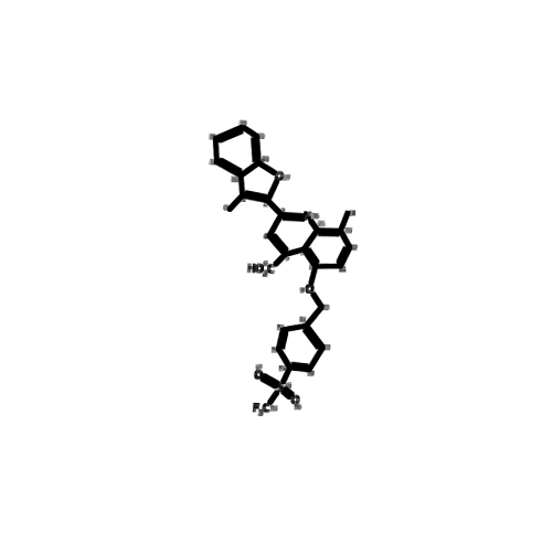 Cc1c(-c2cc(C(=O)O)c3c(OCc4ccc(S(=O)(=O)C(F)(F)F)cc4)ccc(C)c3n2)oc2ccccc12